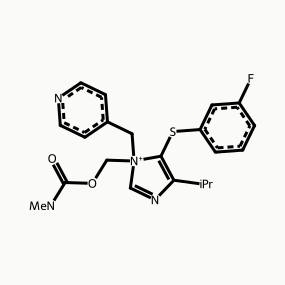 CNC(=O)OC[N+]1(Cc2ccncc2)C=NC(C(C)C)=C1Sc1cccc(F)c1